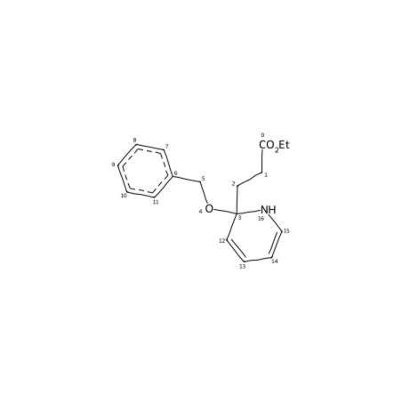 CCOC(=O)CCC1(OCc2ccccc2)C=CC=CN1